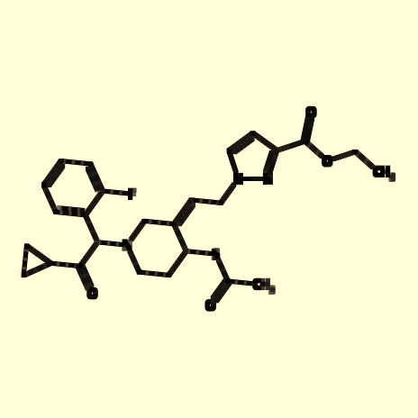 CCOC(=O)c1ccn(CC=C2CN(C(C(=O)C3CC3)c3ccccc3F)CCC2SC(C)=O)n1